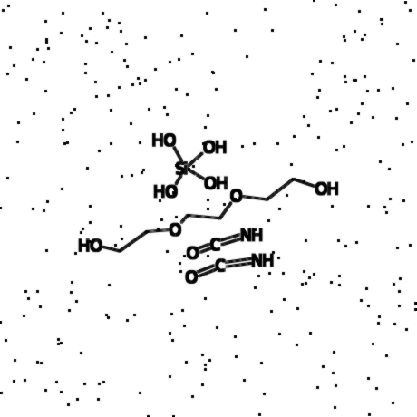 N=C=O.N=C=O.OCCOCCOCCO.O[Si](O)(O)O